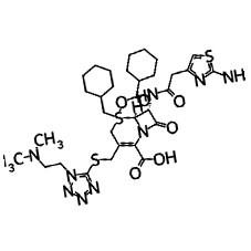 CN(C)CCn1nnnc1SCC1=C(C(=O)O)N2C(=O)[C@@H](NC(=O)Cc3csc(N)n3)[C@@H]2S(CC2CCCCC2)(OC(=O)C2CCCCC2)C1